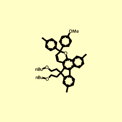 CCCCOCCC1(CCOCCCC)c2cc(C)ccc2-c2c1c1c(c3cc(C)ccc23)OC(c2ccc(C)cc2)(c2ccc(OC)cc2)C=C1